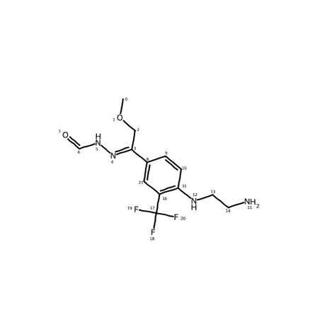 COC/C(=N\NC=O)c1ccc(NCCN)c(C(F)(F)F)c1